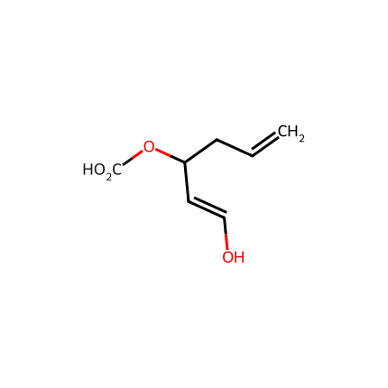 C=CCC(C=CO)OC(=O)O